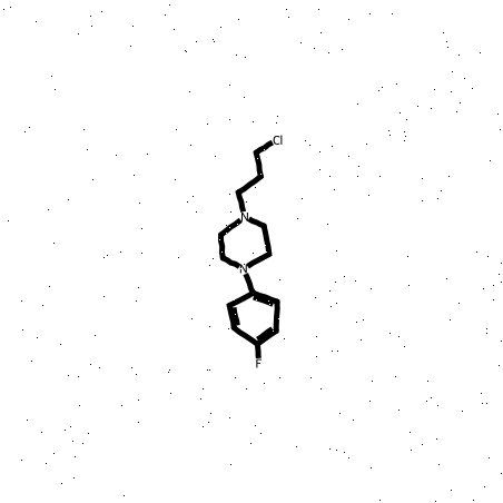 Fc1ccc(N2CCN(CCCCl)CC2)cc1